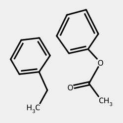 CC(=O)Oc1ccccc1.CCc1ccccc1